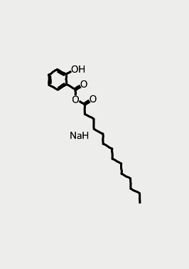 CCCCCCCCCCCCCC(=O)OC(=O)c1ccccc1O.[NaH]